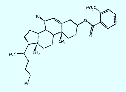 CC(C)CCC[C@@H](C)[C@H]1CCC2C3C(CC[C@@]21C)[C@@]1(C)CCC(OC(=O)c2ccccc2C(=O)O)CC1=C[C@@H]3O